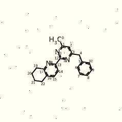 Cc1cc(Cc2ccccc2)nc(-c2ccc3c(n2)CCCC3)n1